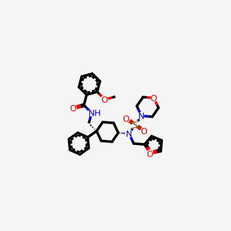 COc1ccccc1C(=O)NC[C@]1(c2ccccc2)CC[C@H](N(Cc2ccco2)S(=O)(=O)N2CCOCC2)CC1